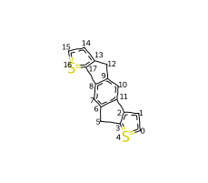 c1cc2c(s1)Cc1cc3c(cc1-2)Cc1ccsc1-3